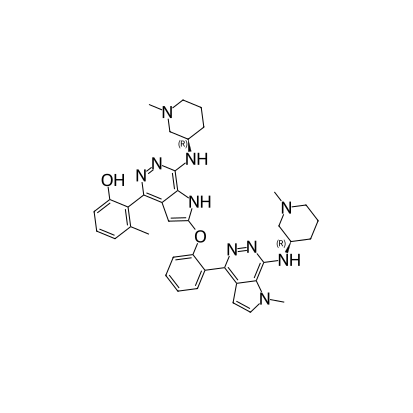 Cc1cccc(O)c1-c1nnc(N[C@@H]2CCCN(C)C2)c2[nH]c(Oc3ccccc3-c3nnc(N[C@@H]4CCCN(C)C4)c4c3ccn4C)cc12